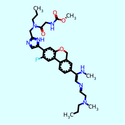 CCCN(C)C/C=N/C=C(\NC)c1ccc2c(c1)COc1cc(-c3cnc(CN(CCC)C(=O)CNC(=O)OC)[nH]3)c(F)cc1-2